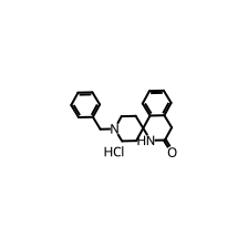 Cl.O=C1Cc2ccccc2C2(CCN(Cc3ccccc3)CC2)N1